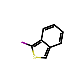 Ic1scc2ccccc12